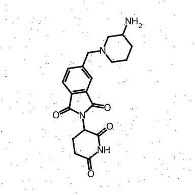 NC1CCCN(Cc2ccc3c(c2)C(=O)N(C2CCC(=O)NC2=O)C3=O)C1